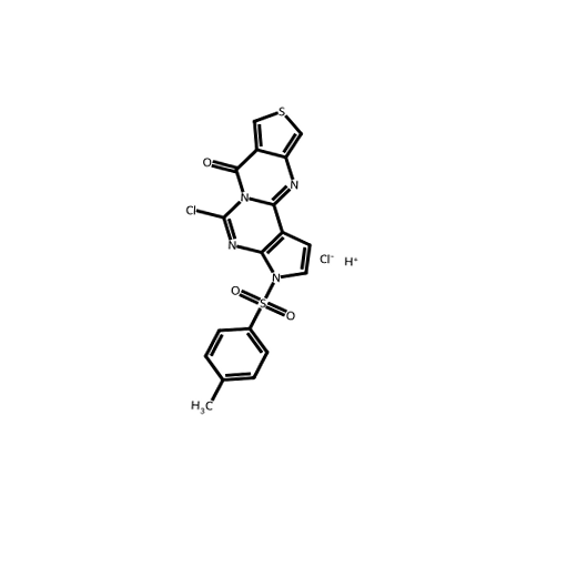 Cc1ccc(S(=O)(=O)n2ccc3c2nc(Cl)n2c(=O)c4cscc4nc32)cc1.[Cl-].[H+]